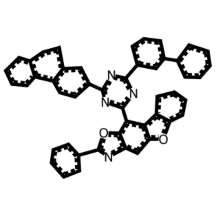 c1ccc(-c2cccc(-c3nc(-c4ccc5c(ccc6ccccc65)c4)nc(-c4c5oc(-c6ccccc6)nc5cc5oc6ccccc6c45)n3)c2)cc1